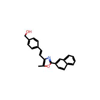 Cc1oc(-c2ccc3ccccc3c2)nc1C=Cc1ccc(CO)cc1